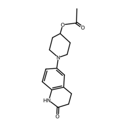 CC(=O)OC1CCN(c2ccc3c(c2)CCC(=O)N3)CC1